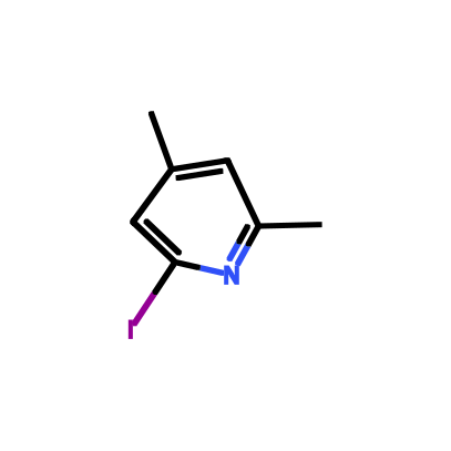 Cc1cc(C)nc(I)c1